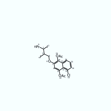 CCCC(I)C(I)COc1cc(OC(C)=O)c2c(Cl)cccc2c1OC(C)=O